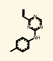 C=Cc1ncnc(Nc2ccc(C)cc2)n1